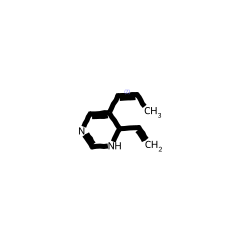 C=CC1NC=NC=C1/C=C\C